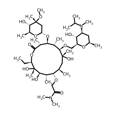 CC[C@H]1OC(=O)[C@H](C)[C@@H](O[C@H]2C[C@@](C)(OC)[C@@H](O)[C@H](C)O2)[C@H](C)[C@@H](OC[C@@H]2O[C@H](C)C[C@H](N(C)C(C)C)[C@H]2O)[C@](C)(O)C[C@@H](C)[C@H](OCC(=O)N(C)C)[C@H](C)[C@@H](O)[C@]1(C)O